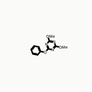 COc1nc(OC)nc(Oc2ccccc2)n1